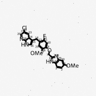 COc1ccc2[nH]c(COc3cc(F)c(CC4=CNC5N=CC(Cl)=CC45)cc3OC)nc2c1